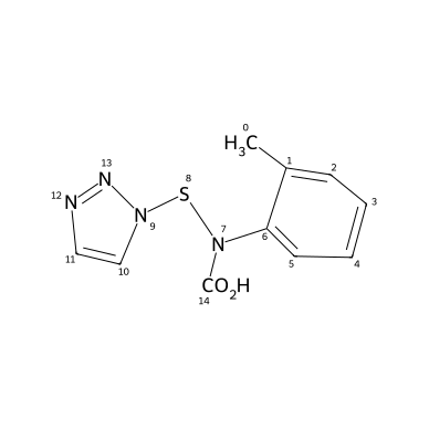 Cc1ccccc1N(Sn1ccnn1)C(=O)O